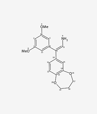 COc1cc(OC)cc(C(=CN)c2ccc3c(c2)OCCCO3)c1